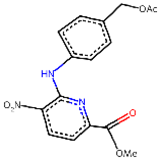 COC(=O)c1ccc([N+](=O)[O-])c(Nc2ccc(COC(C)=O)cc2)n1